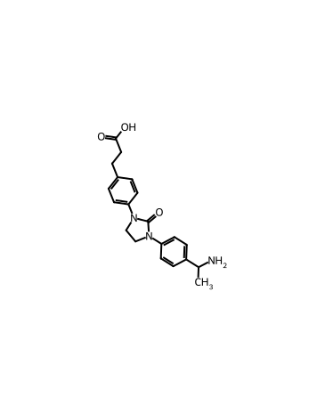 CC(N)c1ccc(N2CCN(c3ccc(CCC(=O)O)cc3)C2=O)cc1